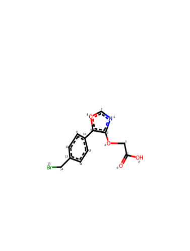 O=C(O)COc1ncoc1-c1ccc(CBr)cc1